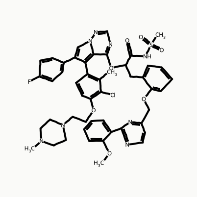 COc1ccccc1-c1nccc(COc2ccccc2CC(Oc2ncnn3cc(-c4ccc(F)cc4)c(-c4ccc(OCCN5CCN(C)CC5)c(Cl)c4C)c23)C(=O)NS(C)(=O)=O)n1